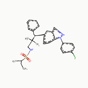 CC(C)S(=O)(=O)NCC(C)(C)[C@@H](c1ccccc1)c1ccc2c(cnn2-c2ccc(F)cc2)c1